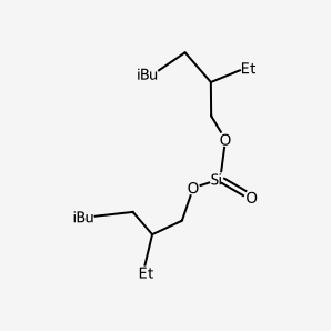 CCC(C)CC(CC)CO[Si](=O)OCC(CC)CC(C)CC